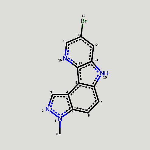 Cn1ncc2c3c(ccc21)[nH]c1cc(Br)cnc13